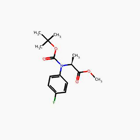 COC(=O)[C@H](C)N(C(=O)OC(C)(C)C)c1ccc(F)cc1